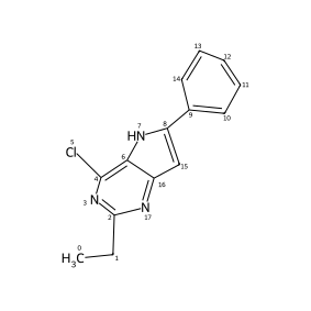 CCc1nc(Cl)c2[nH]c(-c3ccccc3)cc2n1